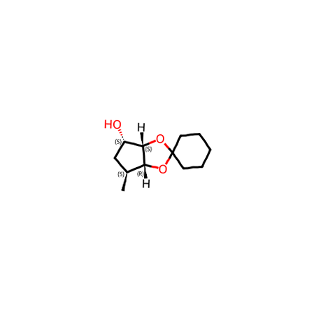 C[C@H]1C[C@H](O)[C@@H]2OC3(CCCCC3)O[C@@H]21